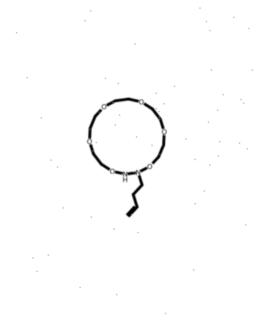 C=CCCN1NOCCOCCOCCOCCOCCO1